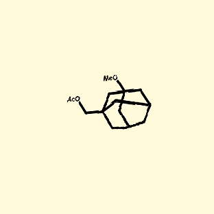 COC12CC3CC(CC(COC(C)=O)(C3)C1)C2